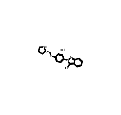 Cl.Clc1c2ccccc2nn1-c1ccc(OC[C@@H]2CCCN2)cc1